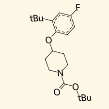 CC(C)(C)OC(=O)N1CCC(Oc2ccc(F)cc2C(C)(C)C)CC1